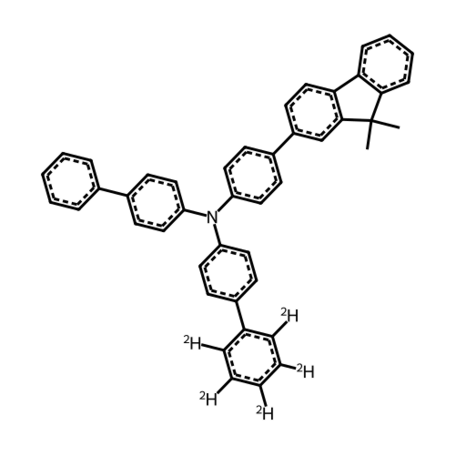 [2H]c1c([2H])c([2H])c(-c2ccc(N(c3ccc(-c4ccccc4)cc3)c3ccc(-c4ccc5c(c4)C(C)(C)c4ccccc4-5)cc3)cc2)c([2H])c1[2H]